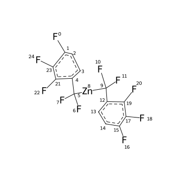 Fc1ccc([C](F)(F)[Zn][C](F)(F)c2ccc(F)c(F)c2F)c(F)c1F